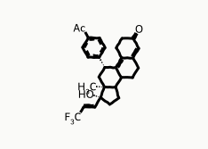 CC(=O)c1ccc([C@H]2C[C@@]3(C)C(CC[C@@]3(O)/C=C/C(F)(F)F)C3CCC4=CC(=O)CCC4=C32)cc1